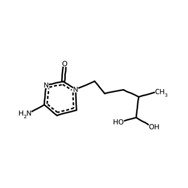 CC(CCCn1ccc(N)nc1=O)C(O)O